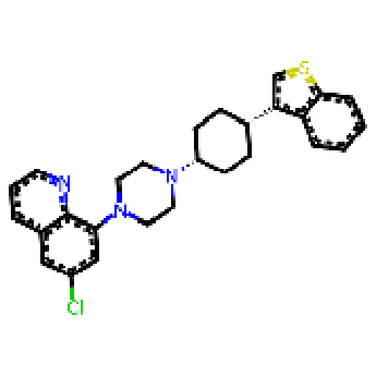 Clc1cc(N2CCN([C@H]3CC[C@@H](c4csc5ccccc54)CC3)CC2)c2ncccc2c1